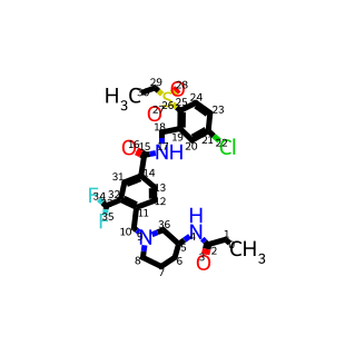 CCC(=O)NC1CCCN(Cc2ccc(C(=O)NCc3cc(Cl)ccc3S(=O)(=O)CC)cc2C(F)F)C1